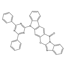 O=c1c2cc3c4ccccc4n(-c4nc(-c5ccccc5)nc(-c5ccccc5)n4)c3cc2oc2nc3ccccc3n12